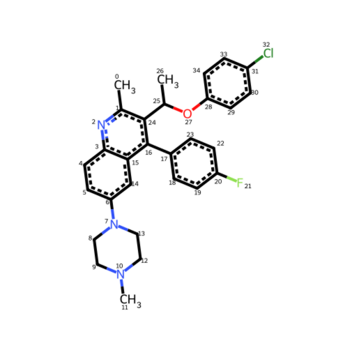 Cc1nc2ccc(N3CCN(C)CC3)cc2c(-c2ccc(F)cc2)c1C(C)Oc1ccc(Cl)cc1